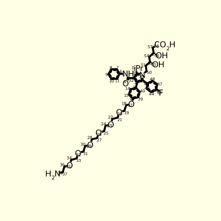 CC(C)c1c(C(=O)Nc2ccccc2)c(-c2ccc(OCCOCCOCCOCCOCCOCCOCCN)cc2)c(-c2ccc(F)cc2)n1CC[C@@H](O)C[C@@H](O)CC(=O)O